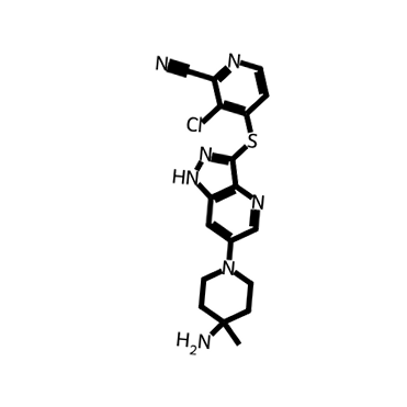 CC1(N)CCN(c2cnc3c(Sc4ccnc(C#N)c4Cl)n[nH]c3c2)CC1